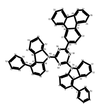 c1ccc(-c2cccc3c2c2ccccc2n3-c2nc(-c3ccc4c5ccccc5c5ccccc5c4c3)nc(-n3c4ccccc4c4c(-c5ccccc5)cccc43)n2)cc1